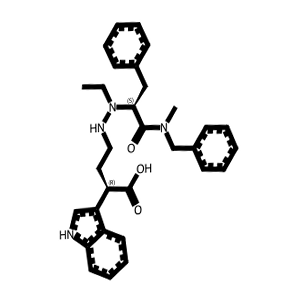 CCN(NCC[C@@H](C(=O)O)c1c[nH]c2ccccc12)[C@@H](Cc1ccccc1)C(=O)N(C)Cc1ccccc1